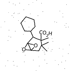 CC1(C)CC23OC2(O3)C(C2CCCCC2)C1(C)C(=O)O